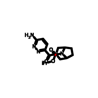 CC(C)OC(=O)N1C2CCC1CN(C(=O)c1ccc(N)nn1)C2